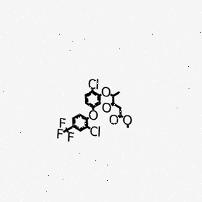 COC(=O)CC(=O)C(C)Oc1cc(Oc2ccc(C(F)(F)F)cc2Cl)ccc1Cl